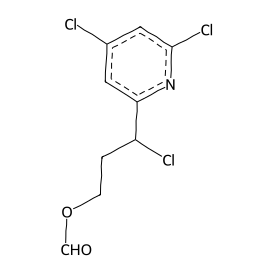 O=COCCC(Cl)c1cc(Cl)cc(Cl)n1